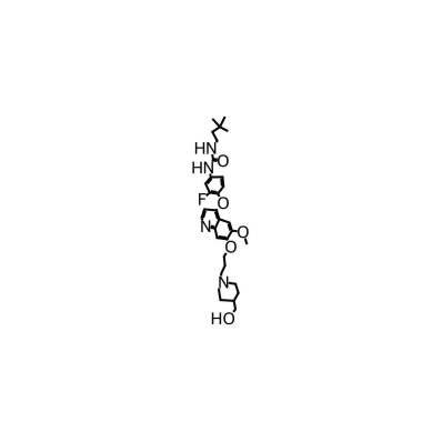 COc1cc2c(Oc3ccc(NC(=O)NCCC(C)(C)C)cc3F)ccnc2cc1OCCCN1CCC(CO)CC1